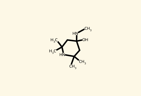 CNC1(O)CC(C)(C)NC(C)(C)C1